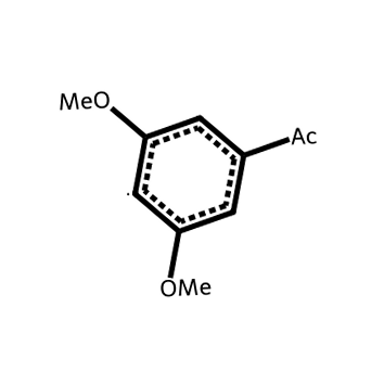 COc1[c]c(OC)cc(C(C)=O)c1